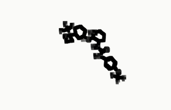 O=C(Nc1ccc(OC(F)(F)F)cc1)NC1CCCNC1O[C@@H]1CCCC([C@@]2(C(F)(F)F)CCO2)C1